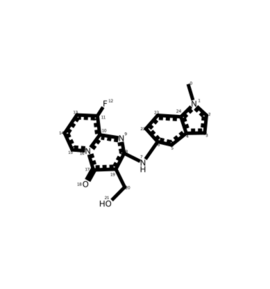 Cn1ccc2cc(Nc3nc4c(F)cccn4c(=O)c3CO)ccc21